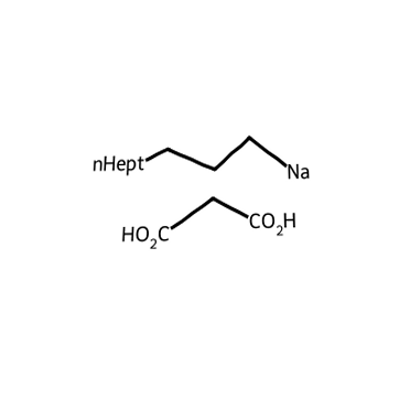 CCCCCCCCC[CH2][Na].O=C(O)CC(=O)O